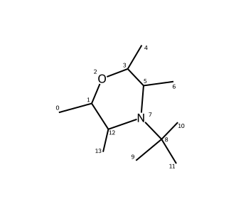 CC1OC(C)C(C)N(C(C)(C)C)C1C